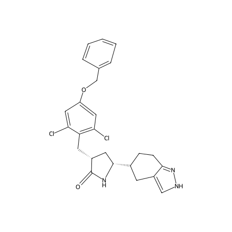 O=C1N[C@@H](C2CCc3n[nH]cc3C2)C[C@H]1Cc1c(Cl)cc(OCc2ccccc2)cc1Cl